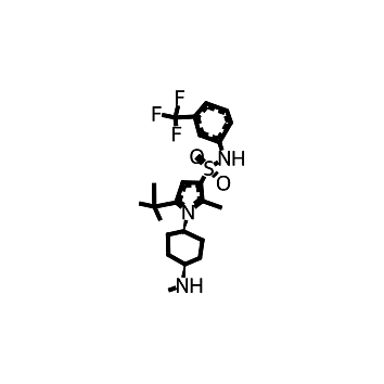 CN[C@H]1CC[C@@H](n2c(C(C)(C)C)cc(S(=O)(=O)Nc3cccc(C(F)(F)F)c3)c2C)CC1